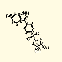 O=S(=O)(c1ccc(-c2c[nH]c3cc(F)ccc23)cc1)N1C[C@@H](O)[C@H](O)C1